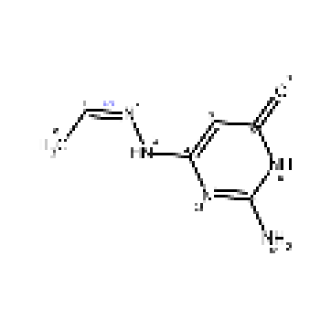 C/C=N\Nc1cc(=O)[nH]c(N)n1